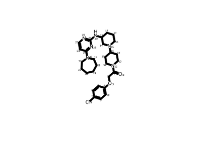 O=C(COc1ccc(Cl)cc1)N1CCC(N2CCCC(Nc3nccc(N4CCCCCC4)n3)C2)CC1